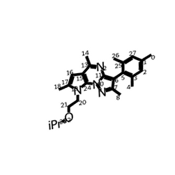 Cc1cc(C)c(-c2c(C)nn3c2nc(C)c2cc(C)n(CCOC(C)C)c23)c(C)c1